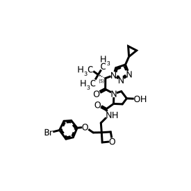 CC(C)(C)[C@@H](C(=O)N1CC(O)CC1C(=O)NCC1(COc2ccc(Br)cc2)COC1)n1cc(C2CC2)nn1